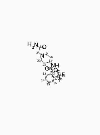 NC(=O)CN1CCC(NS(=O)(=O)c2ccccc2C(F)(F)F)CC1